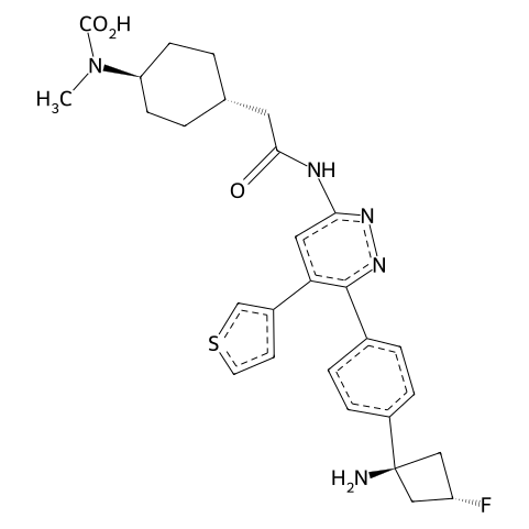 CN(C(=O)O)[C@H]1CC[C@H](CC(=O)Nc2cc(-c3ccsc3)c(-c3ccc([C@]4(N)C[C@H](F)C4)cc3)nn2)CC1